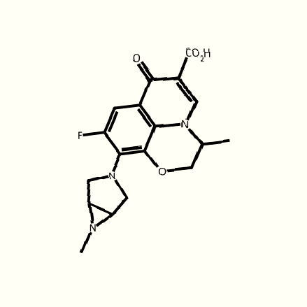 CC1COc2c(N3CC4C(C3)N4C)c(F)cc3c(=O)c(C(=O)O)cn1c23